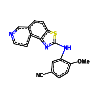 COc1ccc(C#N)cc1Nc1nc2c(ccc3cnccc32)s1